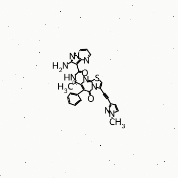 C[C@H](NC(=O)c1c(N)nn2cccnc12)c1nc2scc(C#Cc3ccn(C)n3)n2c(=O)c1-c1ccccc1